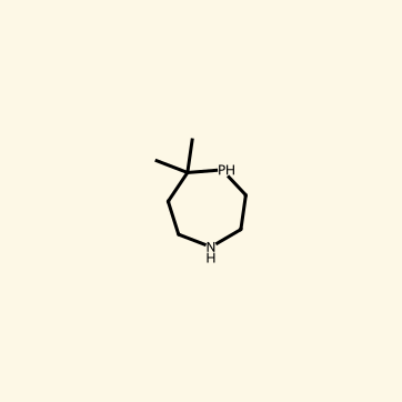 CC1(C)CCNCCP1